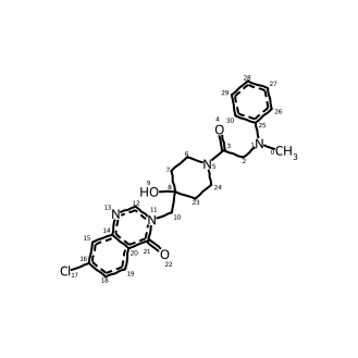 CN(CC(=O)N1CCC(O)(Cn2cnc3cc(Cl)ccc3c2=O)CC1)c1ccccc1